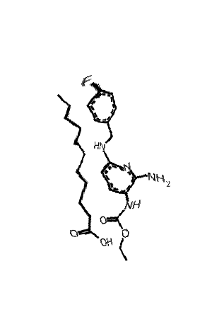 CCCCCCCCCCC(=O)O.CCOC(=O)Nc1ccc(NCc2ccc(F)cc2)nc1N